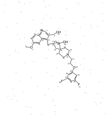 COc1ccc2ncc(CO)c(CCCC3(C(=O)O)CCN(CCOc4cc(F)cc(F)c4)CC3)c2c1